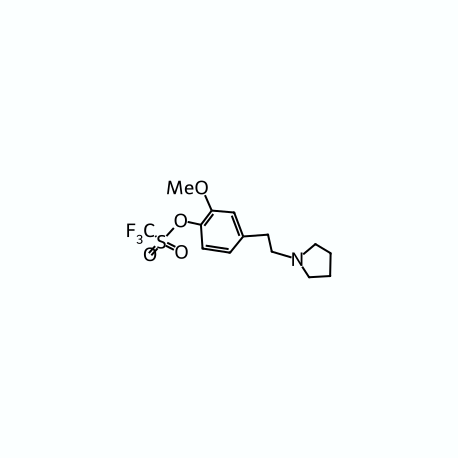 COc1cc(CCN2CCCC2)ccc1OS(=O)(=O)C(F)(F)F